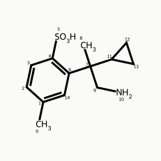 Cc1ccc(S(=O)(=O)O)c(C(C)(CN)C2CC2)c1